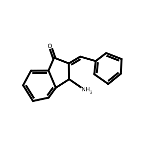 NC1C(=Cc2ccccc2)C(=O)c2ccccc21